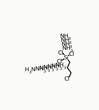 ClCCC[Si](Cl)(Cl)Cl.N.N.N.N.N.N.N.N.N.N.N